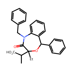 CCC1(C(C)C(=O)O)OC(c2ccccc2)c2ccccc2N(Cc2ccccc2)C1=O